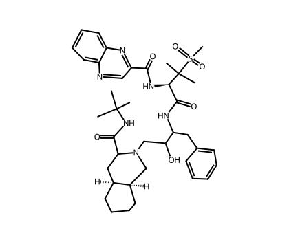 CC(C)(C)NC(=O)C1C[C@@H]2CCCC[C@@H]2CN1CC(O)C(Cc1ccccc1)NC(=O)[C@@H](NC(=O)c1cnc2ccccc2n1)C(C)(C)S(C)(=O)=O